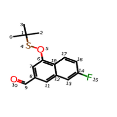 CC(C)(C)SOc1cc(C=O)cc2cc(F)ccc12